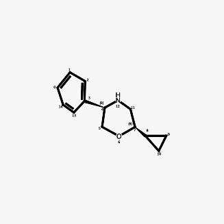 c1ccc([C@@H]2CO[C@H](C3CC3)CN2)cc1